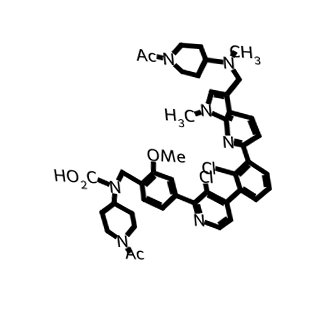 COc1cc(-c2nccc(-c3cccc(-c4ccc5c(CN(C)C6CCN(C(C)=O)CC6)cn(C)c5n4)c3Cl)c2Cl)ccc1CN(C(=O)O)C1CCN(C(C)=O)CC1